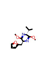 COC1=N[C@H](C(C)C)C(OC)=N[C@H]1Cc1ccco1